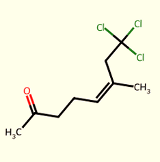 CC(=O)CCC=C(C)CC(Cl)(Cl)Cl